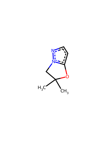 CC1(C)Cn2nccc2O1